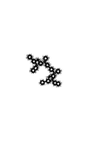 CC1(C)c2cc(-c3ccccc3)ccc2N(c2ccc3ccccc3c2)c2ccc(N(c3ccccc3)c3ccc(-c4ccc(N(c5ccccc5)c5ccc6c(c5)C(C)(C)c5cc(-c7ccccc7)ccc5N6c5ccc6ccccc6c5)cc4)cc3)cc21